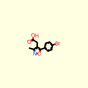 Cc1noc(-c2ccc(Br)cc2)c1CC(=O)O